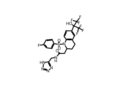 O=C(CC1CCc2cc(C(O)(C(F)(F)F)C(F)(F)F)ccc2N1S(=O)(=O)c1ccc(F)cc1)NCc1nnn[nH]1